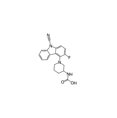 N#Cn1c2ccccc2c2c(N3CCCC(NC(=O)O)C3)c(F)ccc21